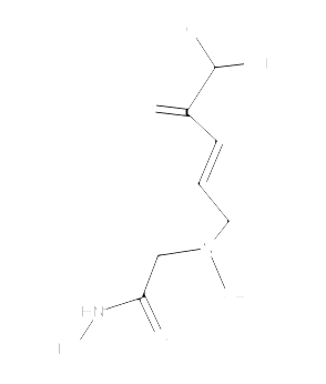 CNC(=O)CN(C)C/C=C/C(=O)C(C)C